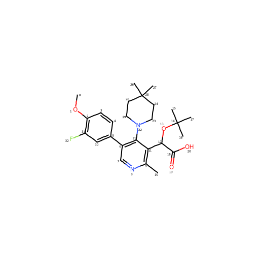 COc1ccc(-c2cnc(C)c(C(OC(C)(C)C)C(=O)O)c2N2CCC(C)(C)CC2)cc1F